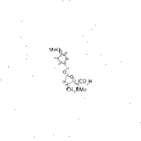 CNC(C(=O)O)[C@@H]1OC(OCc2ccc(OC)cc2)C[C@H]1C